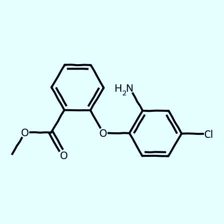 COC(=O)c1ccccc1Oc1ccc(Cl)cc1N